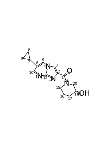 O=C(c1cn2cc(C3CC3)cnc2n1)N1CCCC(O)C1